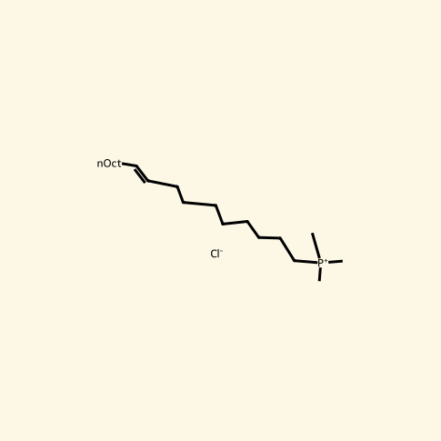 CCCCCCCCC=CCCCCCCCC[P+](C)(C)C.[Cl-]